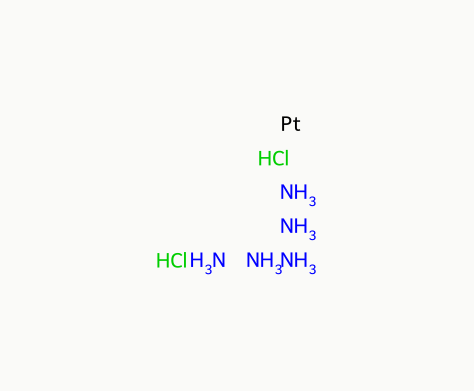 Cl.Cl.N.N.N.N.N.[Pt]